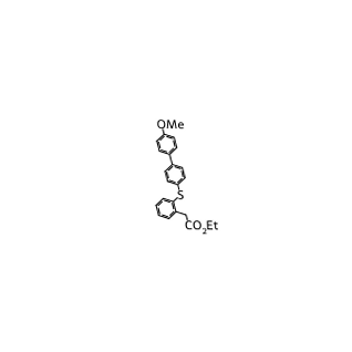 CCOC(=O)Cc1ccccc1Sc1ccc(-c2ccc(OC)cc2)cc1